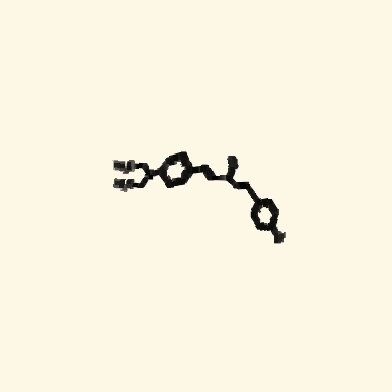 CCN(CC)c1ccc(/C=C/C(=O)/C=C/c2ccc(Br)cc2)cc1